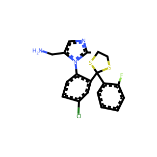 Cc1ncc(CN)n1-c1ccc(Cl)cc1C1(c2ccccc2F)SCCS1